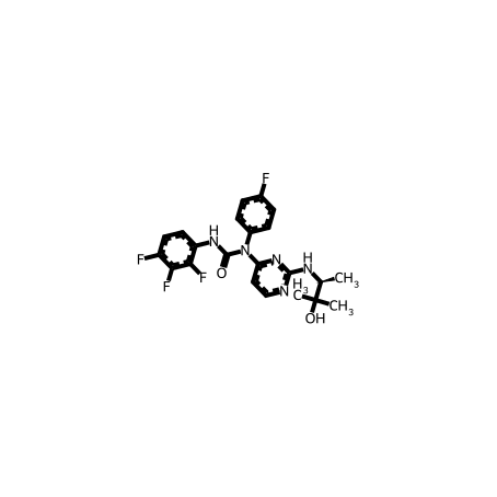 C[C@H](Nc1nccc(N(C(=O)Nc2ccc(F)c(F)c2F)c2ccc(F)cc2)n1)C(C)(C)O